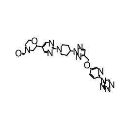 O=CN1CCOC(c2cnc(N3CCC(n4ncc(COc5ccc(-n6cnnn6)nc5)n4)CC3)nc2)C1